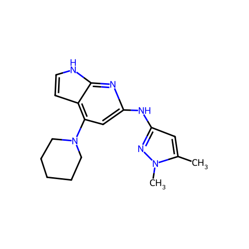 Cc1cc(Nc2cc(N3CCCCC3)c3cc[nH]c3n2)nn1C